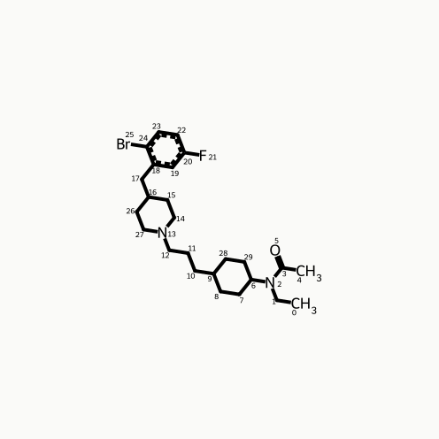 CCN(C(C)=O)C1CCC(CCCN2CCC(Cc3cc(F)ccc3Br)CC2)CC1